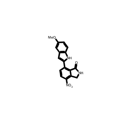 COc1ccc2[nH]c(-c3ccc([N+](=O)[O-])c4c3C(=O)NC4)cc2c1